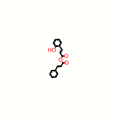 O=C(C=Cc1ccccc1)OC(=O)/C=C/c1ccccc1O